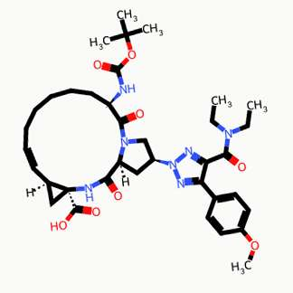 CCN(CC)C(=O)c1nn([C@H]2C[C@H]3C(=O)N[C@@]4(C(=O)O)C[C@H]4/C=C\CCCCC[C@@H](NC(=O)OC(C)(C)C)C(=O)N3C2)nc1-c1ccc(OC)cc1